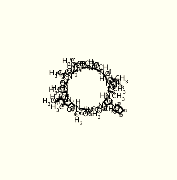 C/C=C/C[C@@H](C)[C@@H](O)[C@H]1C(=O)N[C@@H](CC)C(=O)N(C)CC(=O)N(C)[C@@H]([C@H](C)CN2CC3CCC(C2)O3)C(=O)NC(C(C)C)C(=O)N(C)[C@@H](CC(C)C)C(=O)N[C@@H](C)C(=O)N[C@H](C)C(=O)N(C)[C@@H](CC(C)C)C(=O)N(C)[C@@H](CC(C)C)C(=O)N(C)C(C(C)C)C(=O)N1C